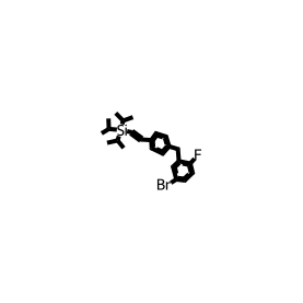 CC(C)[Si](C#Cc1ccc(Cc2cc(Br)ccc2F)cc1)(C(C)C)C(C)C